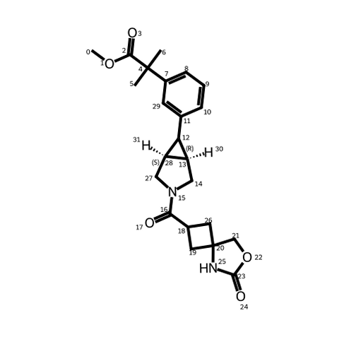 COC(=O)C(C)(C)c1cccc(C2[C@H]3CN(C(=O)C4CC5(COC(=O)N5)C4)C[C@@H]23)c1